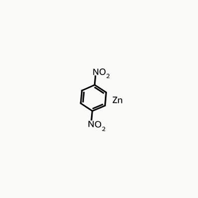 O=[N+]([O-])c1ccc([N+](=O)[O-])cc1.[Zn]